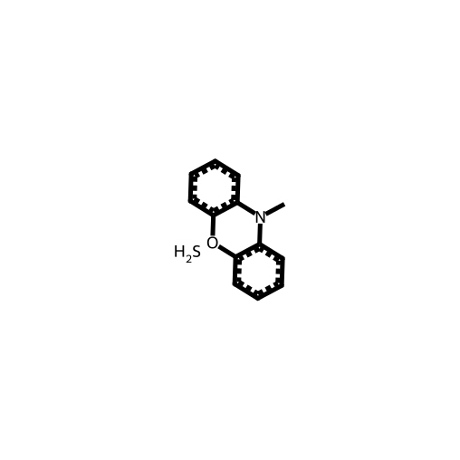 CN1c2ccccc2Oc2ccccc21.S